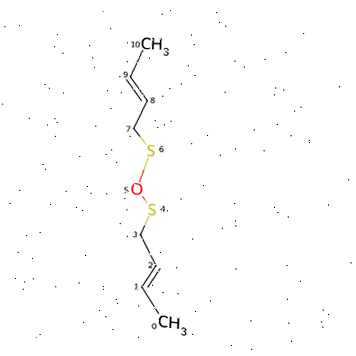 CC=CCSOSCC=CC